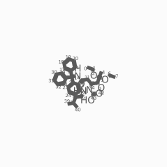 CCOC(C)(OCC)C(=O)C(CC(=O)NC(c1ccccc1)(c1ccccc1)c1ccccc1)N(NCCC(C)C)C(=O)O